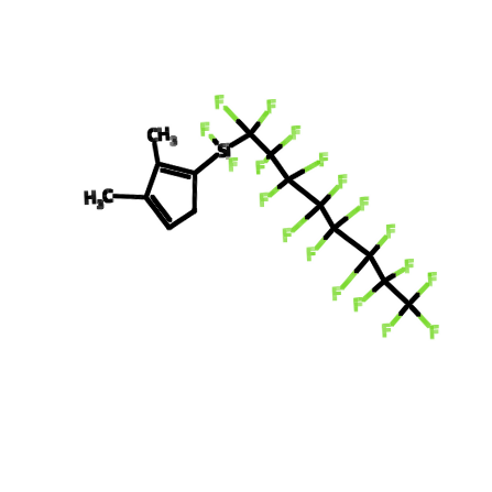 CC1=CCC([Si](F)(F)C(F)(F)C(F)(F)C(F)(F)C(F)(F)C(F)(F)C(F)(F)C(F)(F)C(F)(F)F)=C1C